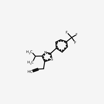 C#CCc1sc(-c2ccc(C(F)(F)F)cc2)nc1C(C)C